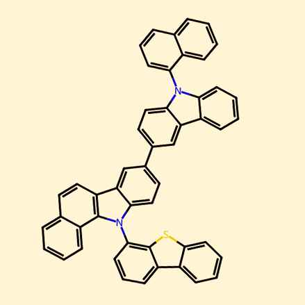 c1ccc2c(-n3c4ccccc4c4cc(-c5ccc6c(c5)c5ccc7ccccc7c5n6-c5cccc6c5sc5ccccc56)ccc43)cccc2c1